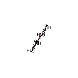 CNC(=O)COCCOCCNC(=O)COCCOCCNC(=O)COCCOCCNC(C)=O